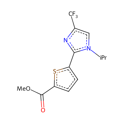 COC(=O)c1ccc(-c2nc(C(F)(F)F)cn2C(C)C)s1